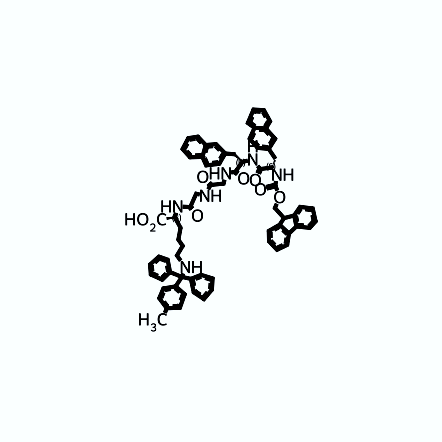 Cc1ccc(C(NCCCC[C@H](NC(=O)CNC(=O)CNC(=O)[C@@H](Cc2ccc3ccccc3c2)NC(=O)[C@H](Cc2ccc3ccccc3c2)NC(=O)OCC2c3ccccc3-c3ccccc32)C(=O)O)(c2ccccc2)c2ccccc2)cc1